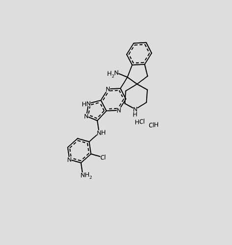 Cl.Cl.Nc1nccc(Nc2n[nH]c3nc(C4(N)c5ccccc5CC45CCNCC5)cnc23)c1Cl